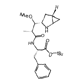 COC([C@@H]1C[C@@H]2CC2N1)[C@@H](C)C(=O)N[C@@H](Cc1ccccc1)C(=O)OC(C)(C)C